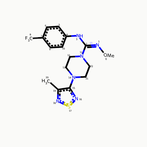 CO/N=C(/Nc1ccc(C(F)(F)F)cc1)N1CCN(c2nsnc2C)CC1